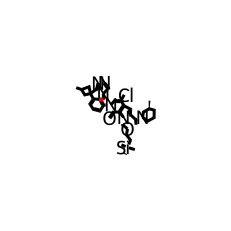 CC1CC(c2cccc(-n3cc(Cl)c4cc(C(C)N5CCC[C@H](C)C5)n(COCC[Si](C)(C)C)c4c3=O)c2)(c2nncn2C)C1